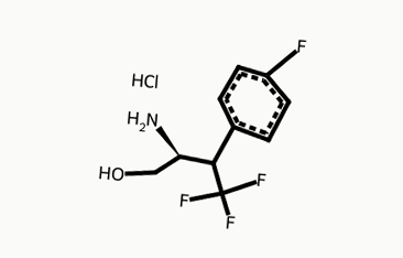 Cl.N[C@H](CO)C(c1ccc(F)cc1)C(F)(F)F